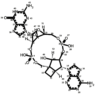 CO[C@H]1[C@H]2OP(=O)(O)OC[C@@]34CC[C@@H]3[C@@H](n3cnc5c(N)ncnc53)[C@H](OP(=O)(O)OC[C@H]1O[C@H]2n1cnc2c(=O)[nH]c(N)nc21)[C@@H]4O